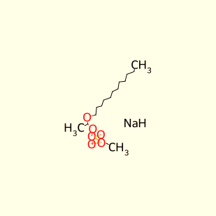 CCCCCCCCCCCCOC(C)OOS(=O)(=O)OCC.[NaH]